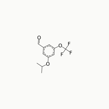 CC(C)Oc1cc(C=O)cc(OC(F)(F)F)c1